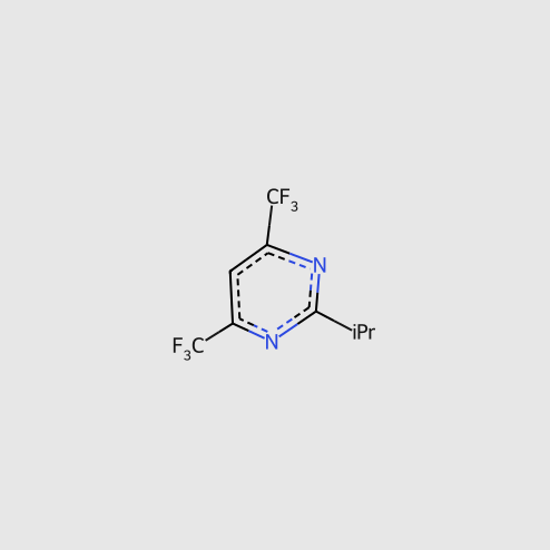 CC(C)c1nc(C(F)(F)F)cc(C(F)(F)F)n1